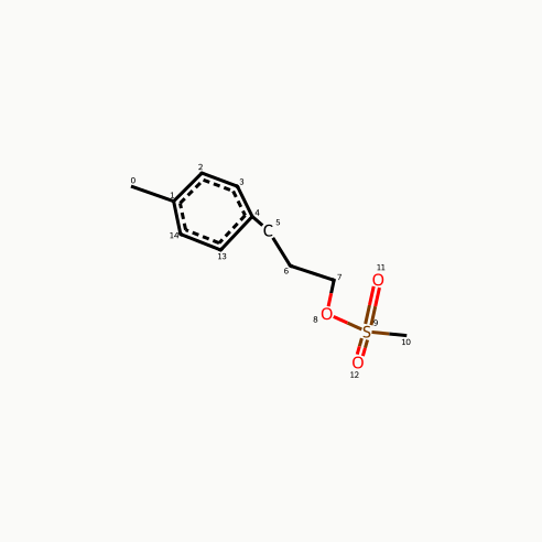 Cc1ccc(CCCOS(C)(=O)=O)cc1